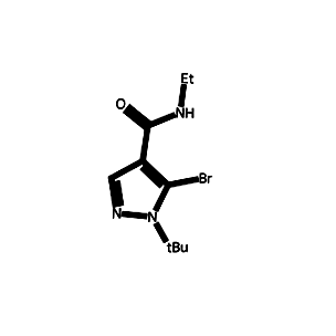 CCNC(=O)c1cnn(C(C)(C)C)c1Br